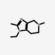 CCn1c(C)nc2c1CCN(I)C2